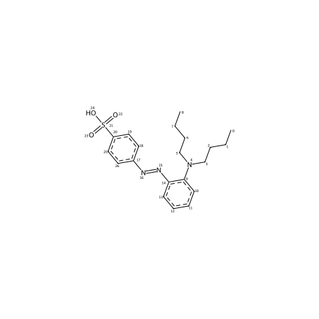 CCCCN(CCCC)c1ccccc1N=Nc1ccc(S(=O)(=O)O)cc1